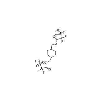 O=C(OCC1CCC(COC(=O)C(F)(F)S(=O)(=O)O)CC1)C(F)(F)S(=O)(=O)O